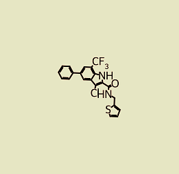 O=C(NCc1cccs1)c1[nH]c2c(C(F)(F)F)cc(-c3ccccc3)cc2c1Cl